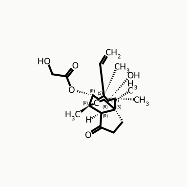 C=C[C@]1(C)C[C@@H](OC(=O)CO)[C@]2(C)CC[C@@H](C)[C@@]3(CCC(=O)[C@@H]23)[C@@H](C)[C@@H]1O